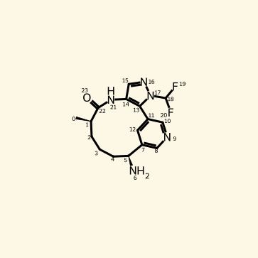 C[C@@H]1CCC[C@H](N)c2cncc(c2)-c2c(cnn2C(F)F)NC1=O